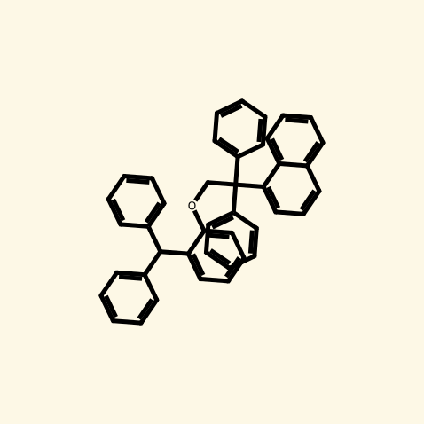 c1ccc([C](c2ccccc2)c2ccccc2OCC(c2ccccc2)(c2ccccc2)c2cccc3ccccc23)cc1